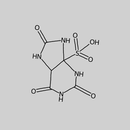 O=C1NC(=O)C2NC(=O)NC2(S(=O)(=O)O)N1